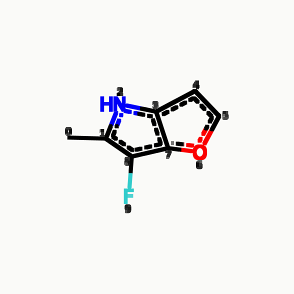 Cc1[nH]c2ccoc2c1F